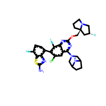 Nc1nc2c(-c3c(Cl)cc4c(N5CC6CCC(C5)N6)nc(OC[C@@]56CCCN5C[C@H](F)C6)nc4c3F)ccc(F)c2s1